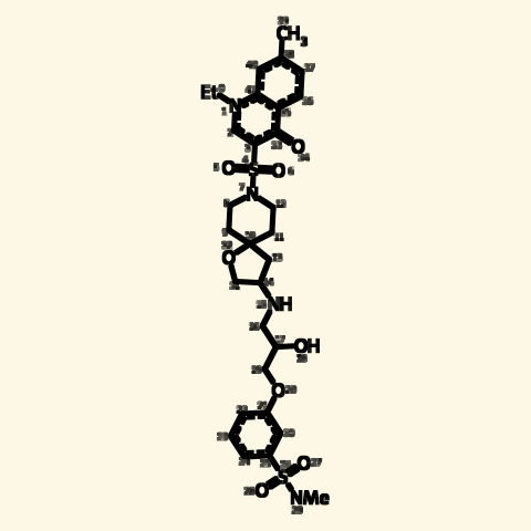 CCn1cc(S(=O)(=O)N2CCC3(CC2)CC(NCC(O)COc2cccc(S(=O)(=O)NC)c2)CO3)c(=O)c2ccc(C)cc21